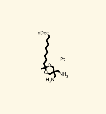 CCCCCCCCCCCCCCCCCCC1(C)OCC(CN)(CN)CO1.[Pt]